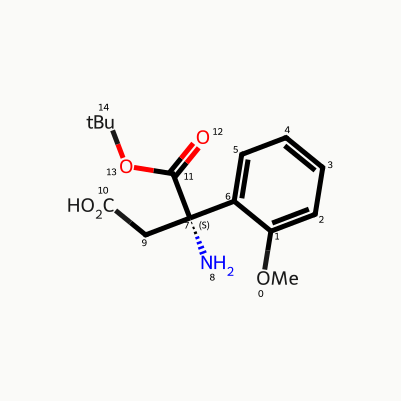 COc1ccccc1[C@@](N)(CC(=O)O)C(=O)OC(C)(C)C